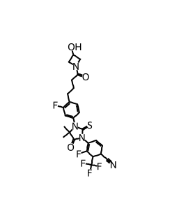 CC1(C)C(=O)N(C2=C(F)C(C(F)(F)F)C(C#N)C=C2)C(=S)N1c1ccc(CCCC(=O)N2CC(O)C2)c(F)c1